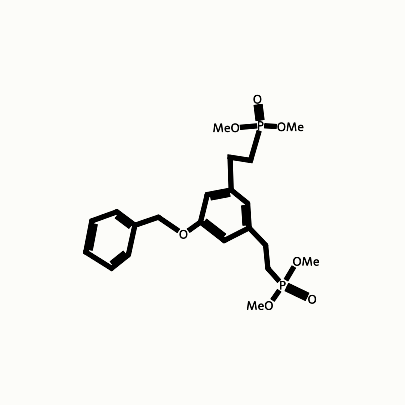 COP(=O)(CCc1cc(CCP(=O)(OC)OC)cc(OCc2ccccc2)c1)OC